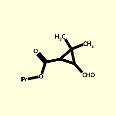 CC(C)OC(=O)C1C(C=O)C1(C)C